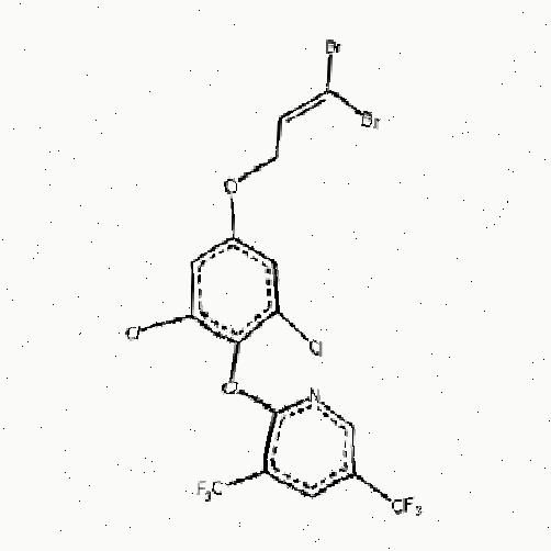 FC(F)(F)c1cnc(Oc2c(Cl)cc(OCC=C(Br)Br)cc2Cl)c(C(F)(F)F)c1